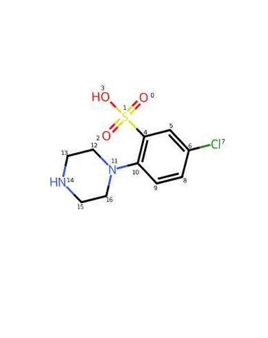 O=S(=O)(O)c1cc(Cl)ccc1N1CCNCC1